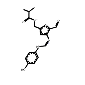 CC(C)C(=O)NCc1cc(/N=C\Nc2ccc(O)cc2)c(C=O)s1